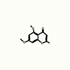 COc1cc(OC)c2c(=O)cc(C)oc2c1